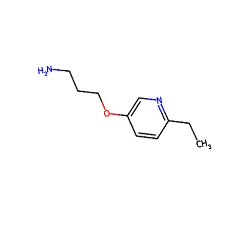 CCc1ccc(OCCCN)cn1